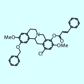 COc1cc2c(cc1OCc1ccccc1)C1Cc3c(Cl)cc(OC)c(OC(=O)C=Cc4ccccc4)c3CN1CC2